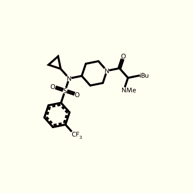 CCC(C)C(NC)C(=O)N1CCC(N(C2CC2)S(=O)(=O)c2cccc(C(F)(F)F)c2)CC1